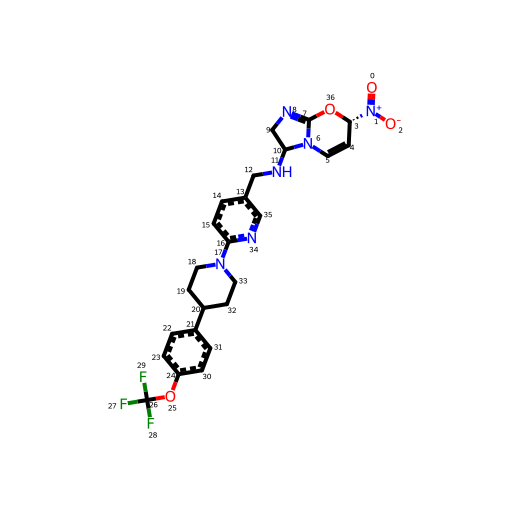 O=[N+]([O-])[C@@H]1C=CN2C(=NCC2NCc2ccc(N3CCC(c4ccc(OC(F)(F)F)cc4)CC3)nc2)O1